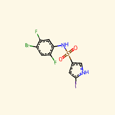 O=S(=O)(Nc1cc(F)c(Br)cc1F)c1c[nH]c(I)c1